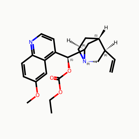 C=C[C@H]1C[N@]2CC[C@H]1C[C@@H]2[C@@H](OC(=O)OCC)c1ccnc2ccc(OC)cc12